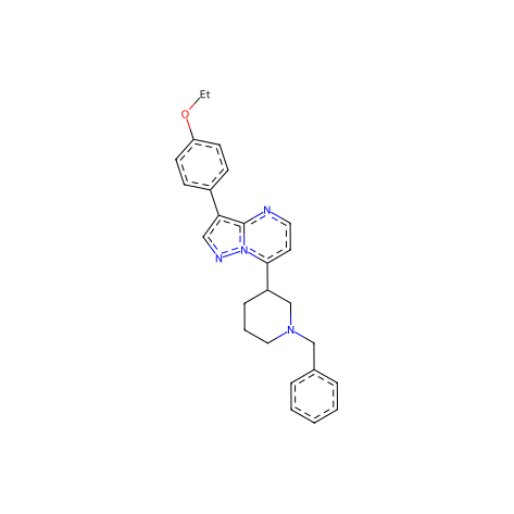 CCOc1ccc(-c2cnn3c(C4CCCN(Cc5ccccc5)C4)ccnc23)cc1